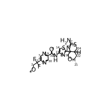 COCC(F)(F)c1cnc(C(=O)Nc2csc(C34CO[C@@H](C)C[C@H]3CSC(N)=N4)n2)cn1